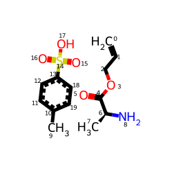 C=CCOC(=O)[C@H](C)N.Cc1ccc(S(=O)(=O)O)cc1